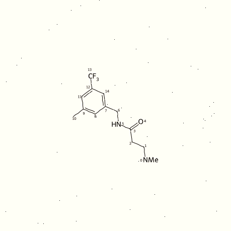 CNCCC(=O)NCc1cc(C)cc(C(F)(F)F)c1